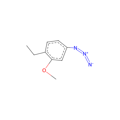 CCc1ccc(N=[N+]=[N-])cc1OC